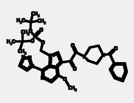 COc1cnc(-n2ccnn2)c2c1c(C(=O)C(=O)N1CCN(C(=O)c3ccccc3)CC1)cn2COP(=O)(OC(C)(C)C)OC(C)(C)C